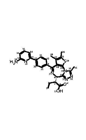 CCC(C(=O)O)[C@@H]1N=C(c2ccc(-c3cccc(N)n3)cc2)c2c(sc(C)c2C)-n2c(C)nnc21